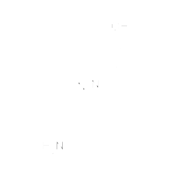 Cc1cccc2c(N=Nc3ccc(N)c4ccccc34)ccc(O)c12